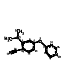 CN(C)c1cc(Oc2ccncn2)ccc1C#N